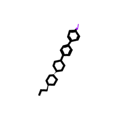 CCC[C@H]1CC[C@H](C2CCC(c3ccc(-c4ccc(I)cc4)cc3)CC2)CC1